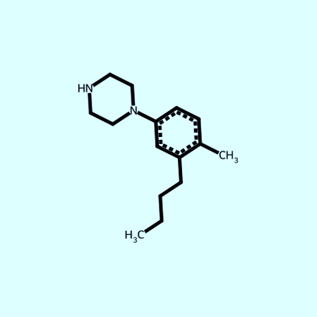 CCCCc1cc(N2CCNCC2)ccc1C